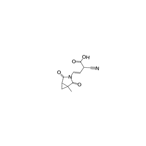 CC12CC1C(=O)N(C=CC(C#N)C(=O)O)C2=O